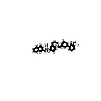 Cc1ccccc1-c1cccc(CN2CCCc3cc(ONCc4ccc5ccccc5c4)ccc32)c1